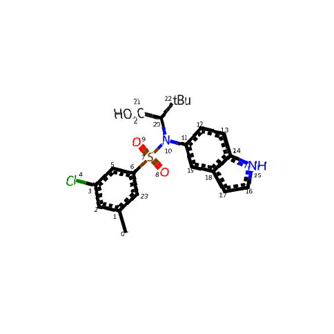 Cc1cc(Cl)cc(S(=O)(=O)N(c2ccc3[nH]ccc3c2)C(C(=O)O)C(C)(C)C)c1